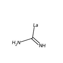 N=[C](N)[La]